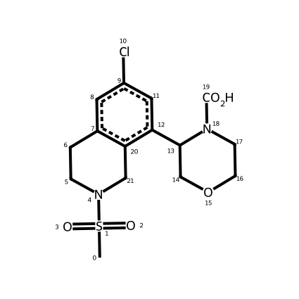 CS(=O)(=O)N1CCc2cc(Cl)cc(C3COCCN3C(=O)O)c2C1